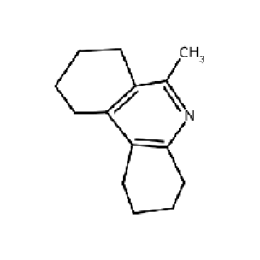 Cc1nc2c(c3c1CCCC3)CCCC2